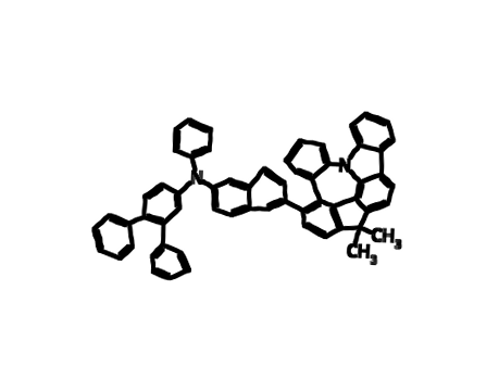 CC1(C)c2ccc(-c3ccc4cc(N(c5ccccc5)c5ccc(-c6ccccc6)c(-c6ccccc6)c5)ccc4c3)c3c2-c2c1ccc1c4ccccc4n(c21)-c1ccccc1-3